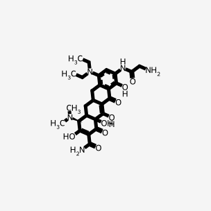 CCN(CC)c1cc(NC(=O)CN)c(O)c2c1CC1CC3[C@H](N(C)C)C(O)=C(C(N)=O)C(=O)C3(O)C(O)=C1C2=O